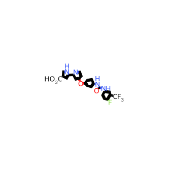 O=C(Nc1ccc(Oc2ccnc(C3=CC(C(=O)O)CN3)c2)cc1)Nc1ccc(F)c(C(F)(F)F)c1